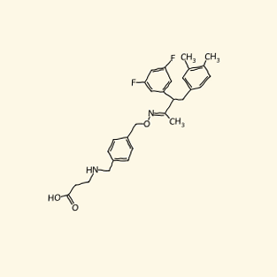 C/C(=N\OCc1ccc(CNCCC(=O)O)cc1)C(Cc1ccc(C)c(C)c1)c1cc(F)cc(F)c1